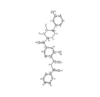 CC1C(C)N(c2cccc(Cl)c2)CCN1C(=O)c1ccc([S+]([O-])CC(=O)c2ccnnc2)c(Cl)c1